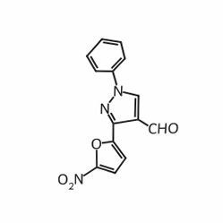 O=Cc1cn(-c2ccccc2)nc1-c1ccc([N+](=O)[O-])o1